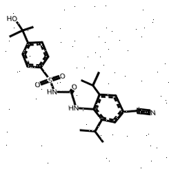 CC(C)c1cc(C#N)cc(C(C)C)c1NC(=O)NS(=O)(=O)c1ccc(C(C)(C)O)cc1